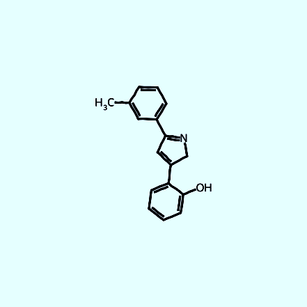 Cc1cccc(C2=NCC(c3ccccc3O)=C2)c1